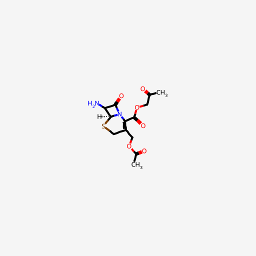 CC(=O)COC(=O)C1=C(COC(C)=O)CS[C@H]2C(N)C(=O)N12